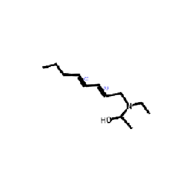 CCC/C=C/C=C/CN(CC)C(C)O